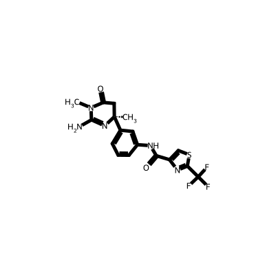 CN1C(=O)C[C@@](C)(c2cccc(NC(=O)c3csc(C(F)(F)F)n3)c2)N=C1N